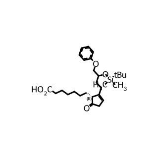 CC(C)(C)[Si](C)(C)OC(CCC1=CCC(=O)[C@@H]1CCCCCCC(=O)O)COc1ccccc1